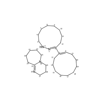 C1=C(C2=NNCCCCCCCC2)CCCCCCCCC1.C1CCC2=NCCCN2CC1